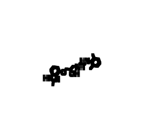 Cc1nc2c(OCC(O)CNCCNc3c(C)cccc3C)cccc2[nH]1